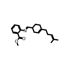 COC(=O)c1ccccc1N=CC1CC=C(CCC=C(C)C)CC1